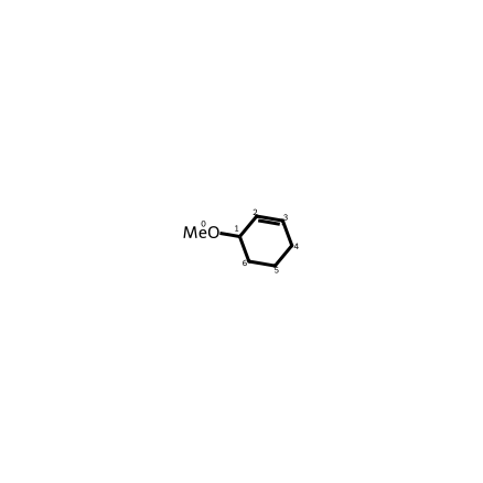 COC1C=[C]CCC1